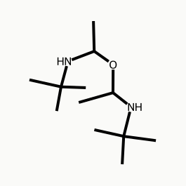 CC(NC(C)(C)C)OC(C)NC(C)(C)C